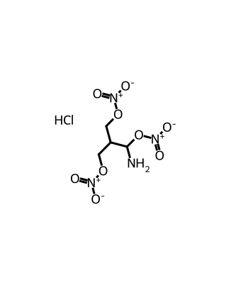 Cl.NC(O[N+](=O)[O-])C(CO[N+](=O)[O-])CO[N+](=O)[O-]